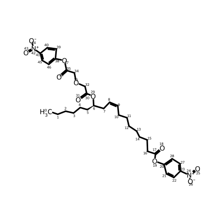 CCCCCC[C@H](C/C=C\CCCCCCCC(=O)Oc1ccc([N+](=O)[O-])cc1)OC(=O)COCC(=O)Oc1ccc([N+](=O)[O-])cc1